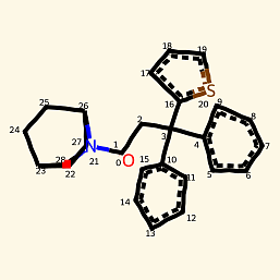 O=C(CC(c1ccccc1)(c1ccccc1)c1cccs1)N1CC2CCC1CC2